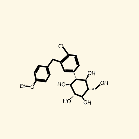 CCOc1ccc(Cc2cc([C@H]3[C@H](O)[C@@H](O)[C@H](O)[C@@H](CO)[C@@H]3O)ccc2Cl)cc1